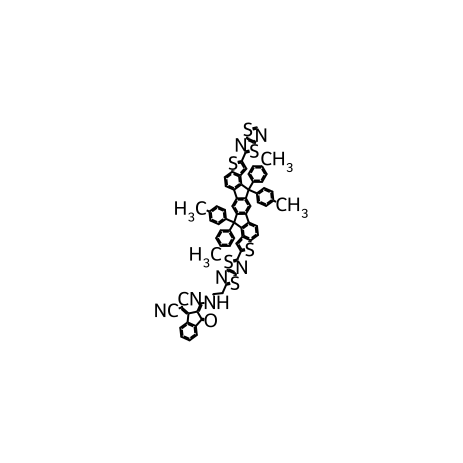 Cc1ccc(C2(c3ccc(C)cc3)c3cc4c(cc3-c3ccc5sc(-c6nc7scnc7s6)cc5c32)C(c2ccc(C)cc2)(c2ccc(C)cc2)c2c-4ccc3sc(-c4nc5sc(CCN/C=C6\C(=O)c7ccccc7C6=C(C#N)C#N)nc5s4)cc23)cc1